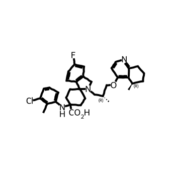 Cc1c(Cl)cccc1NC1(C(=O)O)CCC2(CC1)c1ccc(F)cc1CN2C[C@@H](C)COc1ccnc2c1[C@H](C)CCC2